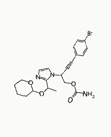 CC(OC1CCCCO1)c1nccn1C(C#Cc1ccc(Br)cc1)COC(N)=O